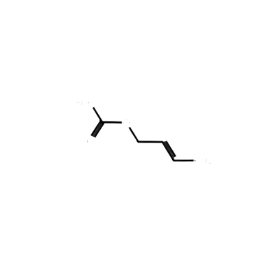 CC=CCOC(C)=O